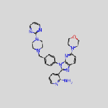 Nc1ncccc1-c1nc2ccc(N3CCOCC3)nc2n1-c1ccc(CN2CCN(c3ncccn3)CC2)cc1